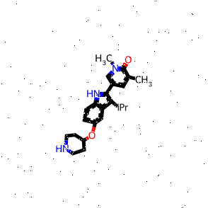 Cc1cc(-c2[nH]c3ccc(OC4CCNCC4)cc3c2C(C)C)cn(C)c1=O